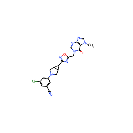 Cn1cnc2ncn(Cc3nc(C4C5CN(c6cc(Cl)cc(C#N)c6)CC54)no3)c(=O)c21